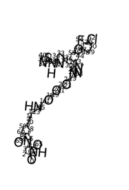 O=C1CCC(N2Cc3cc(C#CCCNCCOCCOCCOCCn4cc([C@]5(Cc6cccc(Nc7nccs7)n6)CC[C@@H](Oc6cccc(Cl)c6F)CC5)nn4)ccc3C2=O)C(=O)N1